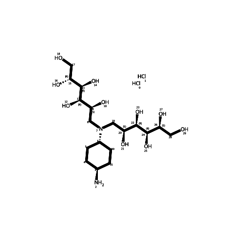 Cl.Cl.N[C@H]1CC[C@H](N(C[C@H](O)[C@@H](O)[C@H](O)[C@H](O)CO)C[C@H](O)[C@@H](O)[C@H](O)[C@@H](O)CO)CC1